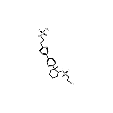 CCCS(=O)(=O)NC1CCCCC1(F)c1ccc(-c2ccc(CCNS(C)(=O)=O)cc2)cc1